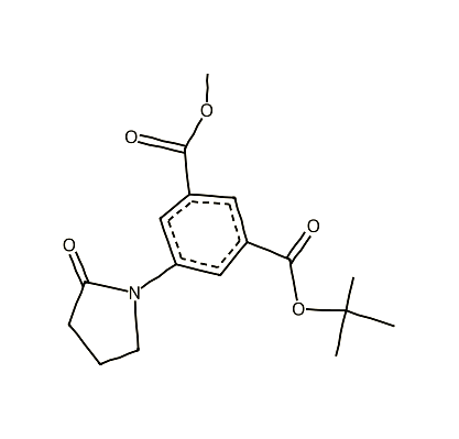 COC(=O)c1cc(C(=O)OC(C)(C)C)cc(N2CCCC2=O)c1